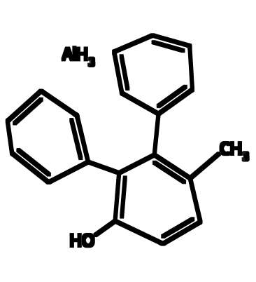 Cc1ccc(O)c(-c2ccccc2)c1-c1ccccc1.[AlH3]